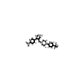 C[C@@H]1CN(Cc2c[nH]nc2-c2ccc(N(C)C)nc2)CCN1c1ccc(C(F)(F)F)cn1